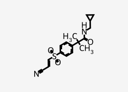 CC(C)(C(=O)NCC1CC1)c1ccc(S(=O)(=O)C=CC#N)cc1